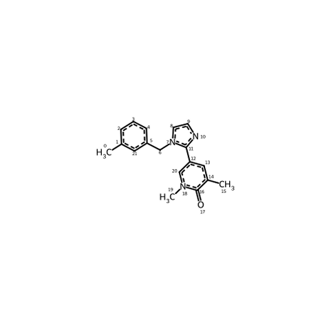 Cc1cccc(Cn2ccnc2-c2cc(C)c(=O)n(C)c2)c1